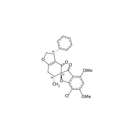 COc1cc(OC)c2c(c1Cl)O[C@@]1(C(=O)C3=C(C[C@H]1C)OC[C@@H]3c1ccccc1)C2=O